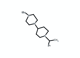 CC(C)C(C)N1CCC(N2CCN(C(C)(C)C)CC2)CC1